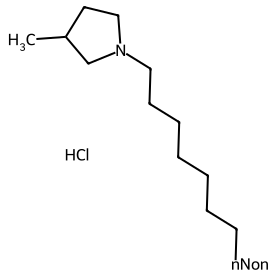 CCCCCCCCCCCCCCCCN1CCC(C)C1.Cl